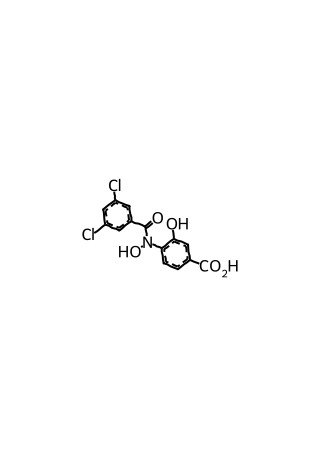 O=C(O)c1ccc(N(O)C(=O)c2cc(Cl)cc(Cl)c2)c(O)c1